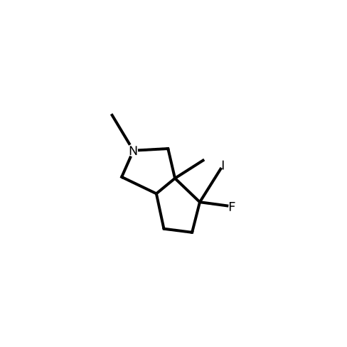 CN1CC2CCC(F)(I)C2(C)C1